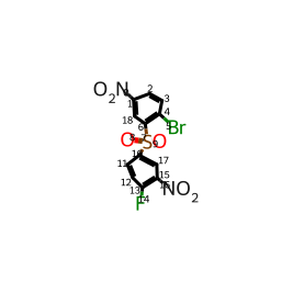 O=[N+]([O-])c1ccc(Br)c(S(=O)(=O)c2ccc(F)c([N+](=O)[O-])c2)c1